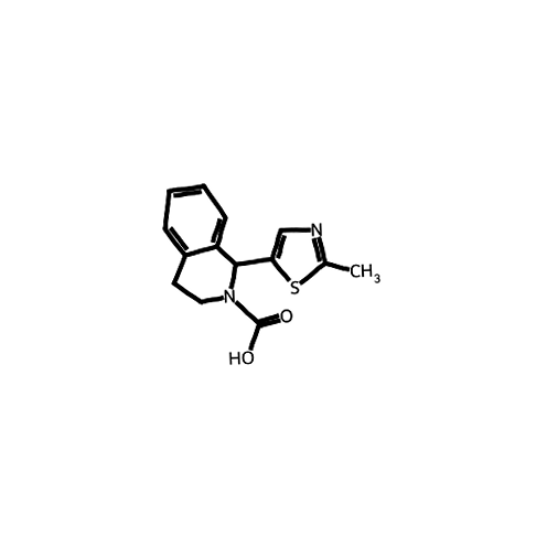 Cc1ncc(C2c3ccccc3CCN2C(=O)O)s1